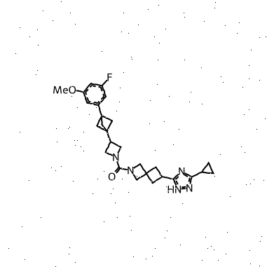 COc1cc(F)cc(C23CC(C4CN(C(=O)N5CC6(CC(c7nc(C8CC8)n[nH]7)C6)C5)C4)(C2)C3)c1